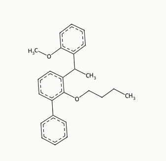 CCCCOc1c(-c2ccccc2)cccc1C(C)c1ccccc1OC